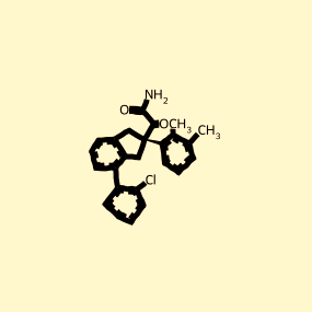 Cc1cccc([C@]2(C(=O)C(N)=O)Cc3cccc(-c4ccccc4Cl)c3C2)c1C